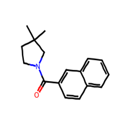 CC1(C)CCN(C(=O)c2ccc3ccccc3c2)C1